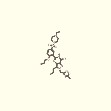 CCCOc1ccc(S(=O)(=O)N2CCN(CC)CC2)cc1-c1nc2c(CCC)n(Cc3noc(C)n3)nc2c(=O)[nH]1